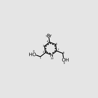 OCc1cc(Br)cc(CO)n1